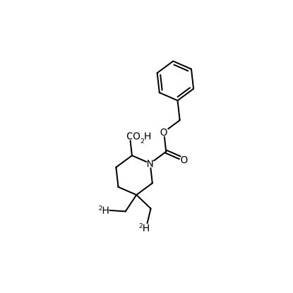 [2H]CC1(C[2H])CCC(C(=O)O)N(C(=O)OCc2ccccc2)C1